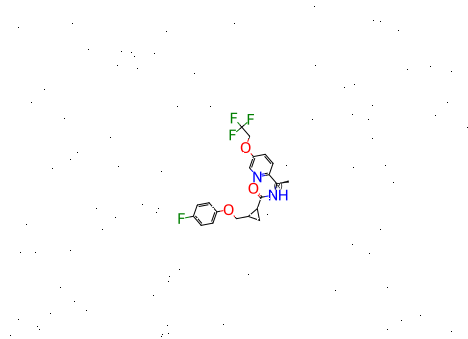 C[C@@H](NC(=O)C1CC1COc1ccc(F)cc1)c1ccc(OCC(F)(F)F)cn1